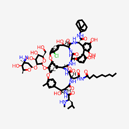 CCCCCCCCC(=O)NC(=O)C[C@@H]1NC(=O)[C@H](NC(=O)[C@@H](CC(C)C)NC)[C@H](O)c2ccc(c(C)c2)Oc2cc3cc(c2O[C@@H]2O[C@H](CO)[C@@H](O)[C@H](O)[C@H]2O[C@H]2C[C@](C)(N)[C@H](O)[C@H](C)O2)Oc2ccc(cc2Cl)[C@@H](O)[C@@H]2NC(=O)[C@H](NC(=O)[C@@H]3NC1=O)c1ccc(O)c(c1)-c1c(O)cc(O)cc1[C@@H](C(=O)NC1C3CC4CC(C3)CC1C4)NC2=O